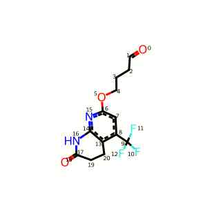 O=CCCCOc1cc(C(F)(F)F)c2c(n1)NC(=O)CC2